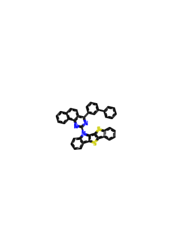 c1ccc(-c2cccc(-c3nc(-n4c5ccccc5c5sc6c7ccccc7sc6c54)nc4c3ccc3ccccc34)c2)cc1